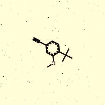 C#Cc1ccc(C(C)(C)C)c(OC)c1